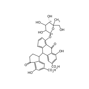 CC1(CO)O[C@@H](Oc2cccc3c2C(=O)c2c(O)cc(C(=O)O)cc2C3C2CCC(=O)c3c(O)cc(C(=O)O)cc32)C(O)C(O)[C@@H]1O